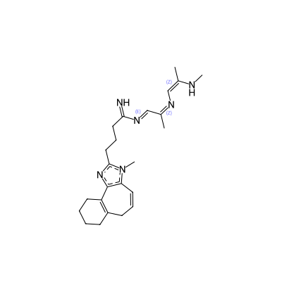 CN\C(C)=C/N=C(C)\C=N\C(=N)CCCc1nc2c(n1C)C=CCC1=C2CCCC1